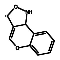 [C]1ONC2C1=COc1ccccc12